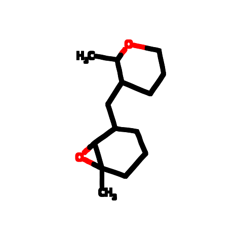 CC1OCCCC1CC1CCCC2(C)OC12